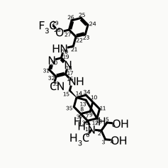 CN(C(CO)CO)[C@@H]1[C@@H]2CC3C[C@H]1C[C@@](CNc1nc(NCc4ccccc4OC(F)(F)F)ncc1C#N)(C3)C2